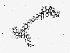 Cc1nn2c(N3CCN(CCO)CC3)cc(-c3ccc(CCCOCCOCCNc4cccc5c4C(=O)N(C4CCC(=O)NC4=O)C5=O)cc3)nc2c1-c1ccccc1